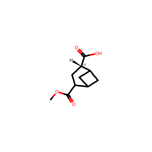 COC(=O)C1C[C@H](C(=O)O)C2CC1C2